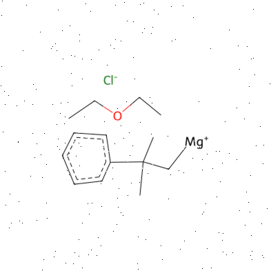 CC(C)([CH2][Mg+])c1ccccc1.CCOCC.[Cl-]